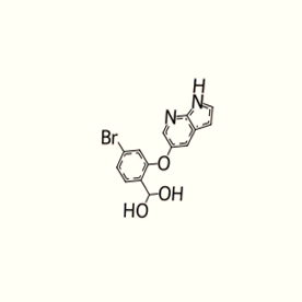 OC(O)c1ccc(Br)cc1Oc1cnc2[nH]ccc2c1